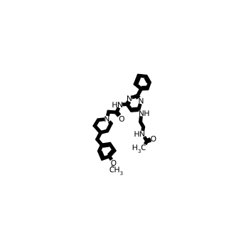 COc1ccc(CC2CCN(CC(=O)Nc3cc(NCCNC(C)=O)nc(-c4ccccc4)n3)CC2)cc1